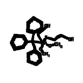 CO[SH](CCO)(OC)(SCCO)C(c1ccccc1)(c1ccccc1)c1ccccc1